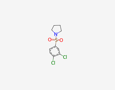 O=S(=O)(c1ccc(Cl)c(Cl)c1)N1CCCC1